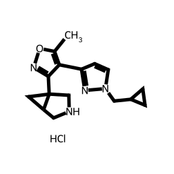 Cc1onc(C23CNCC2C3)c1-c1ccn(CC2CC2)n1.Cl